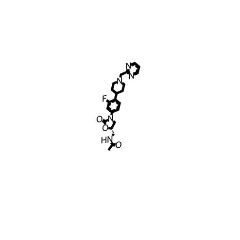 CC(=O)NC[C@H]1CN(c2ccc(C3CCN(Cc4ncccn4)CC3)c(F)c2)C(=O)O1